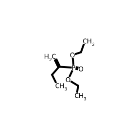 C=C(CC)P(=O)(OCC)OCC